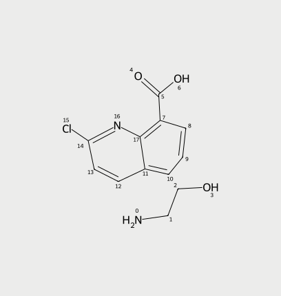 NCCO.O=C(O)c1cccc2ccc(Cl)nc12